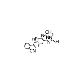 CCCc1nc(C)n2nc(S)nc2c1Cc1ccc(-c2ccccc2C#N)cc1